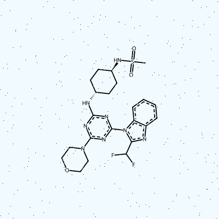 CS(=O)(=O)N[C@H]1CC[C@H](Nc2nc(N3CCOCC3)nc(-n3c(C(F)F)nc4ccccc43)n2)CC1